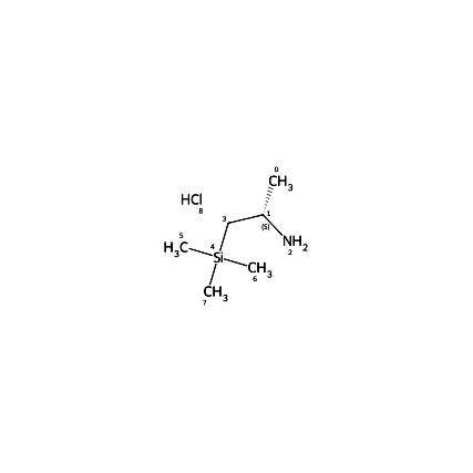 C[C@H](N)C[Si](C)(C)C.Cl